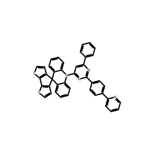 c1ccc(-c2cc(N3c4ccccc4C4(c5ccccc53)c3ccsc3-c3sccc34)nc(-c3ccc(-c4ccccn4)cc3)n2)cc1